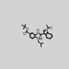 CC(=O)n1cc(C(=O)Nc2cc(C(=O)OC(C)(C)C)ccc2NCC(C)C)c2ccccc21